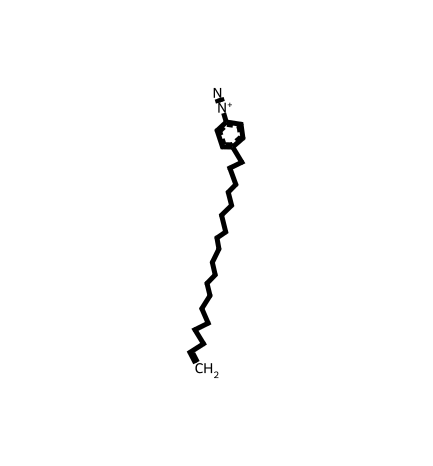 C=CCCCCCCCCCCCCCCCCCc1ccc([N+]#N)cc1